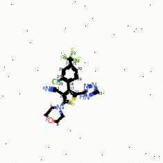 N#Cc1c(N2CCOCC2)sc(-c2nnc[nH]2)c1-c1ccc(C(F)(F)F)cc1Cl